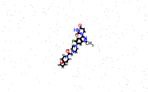 Cn1nc(N2CCC(=O)NC2=O)c2cc(F)c(N3CCN(CC(=O)N4CCC5(CCCO5)CC4)CC3)cc21